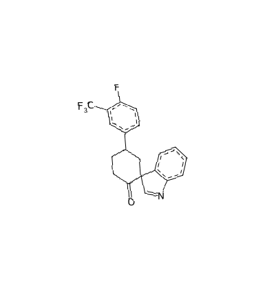 O=C1CCC(c2ccc(F)c(C(F)(F)F)c2)CC12C=Nc1ccccc12